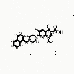 CCn1cc(C(=O)O)c(=O)c2cc(F)c(N3CCN(Cc4cccc5ccccc45)CC3)nc21